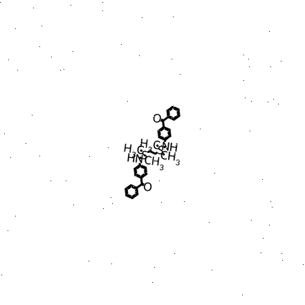 CS(C)(CCS(C)(C)Nc1ccc(C(=O)c2ccccc2)cc1)Nc1ccc(C(=O)c2ccccc2)cc1